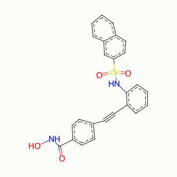 O=C(NO)c1ccc(C#Cc2ccccc2NS(=O)(=O)c2ccc3ccccc3c2)cc1